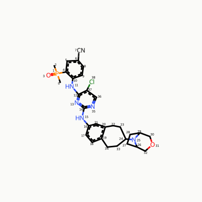 CP(C)(=O)c1cc(C#N)ccc1Nc1nc(Nc2ccc3c(c2)CCC(N2C4CCC2COC4)CC3)ncc1Cl